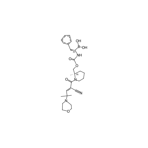 CC(C)(C=C(C#N)C(=O)N1CCCC[C@]1(C)COC(=O)N[C@@H](Cc1ccccc1)B(O)O)N1CCOCC1